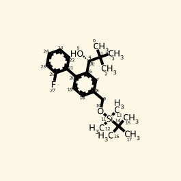 CC(C)(C)[C@@H](O)c1cc(CO[Si](C)(C)C(C)(C)C)ccc1-c1ccccc1F